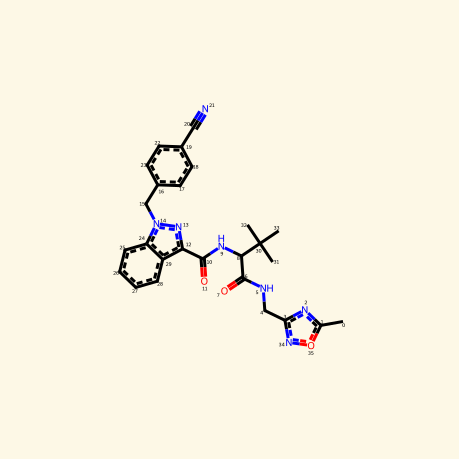 Cc1nc(CNC(=O)C(NC(=O)c2nn(Cc3ccc(C#N)cc3)c3ccccc23)C(C)(C)C)no1